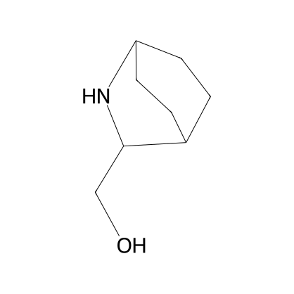 OCC1NC2CCC1CC2